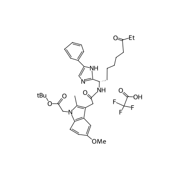 CCC(=O)CCCCC[C@H](NC(=O)Cc1c(C)n(CC(=O)OC(C)(C)C)c2ccc(OC)cc12)c1ncc(-c2ccccc2)[nH]1.O=C(O)C(F)(F)F